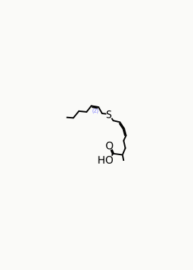 CCCC/C=C\CSCC=C=CCCC(C)C(=O)O